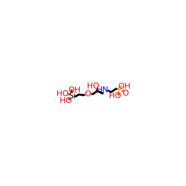 O=P(O)(O)CCNCC(O)COCCC[Si](O)(O)O